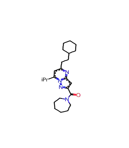 CC(C)c1cc(CCC2CCCCC2)nc2cc(C(=O)N3CCCCCC3)nn12